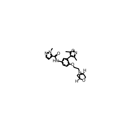 Cc1noc(C)c1-c1cc(NC(=O)c2ccnn2C)ccc1OCCN1C[C@@H]2C[C@H]1CO2